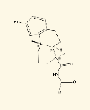 CCC(=O)NC(=O)[C@@]1(C)CCC[C@]2(C)c3cc(O)ccc3CC[C@@H]12